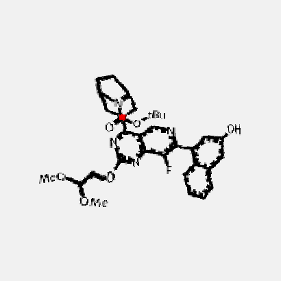 COC(COc1nc(N2CC3CCC(C2)N3C(=O)OC(C)(C)C)c2cnc(-c3cc(O)cc4ccccc34)c(F)c2n1)OC